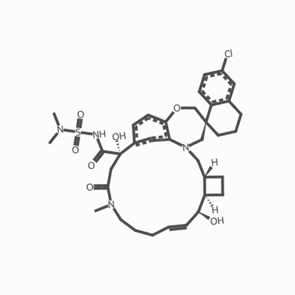 CN1CCC/C=C/[C@H](O)[C@@H]2CC[C@H]2CN2C[C@@]3(CCCc4cc(Cl)ccc43)COc3ccc(cc32)[C@](O)(C(=O)NS(=O)(=O)N(C)C)CC1=O